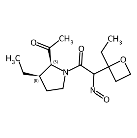 CC[C@@H]1CCN(C(=O)C(N=O)C2(CC)CCO2)[C@@H]1C(C)=O